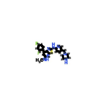 CNc1cc(-c2ccc(F)cc2F)c2nc(Nc3ccc(CN4CCNCC4)cn3)sc2n1